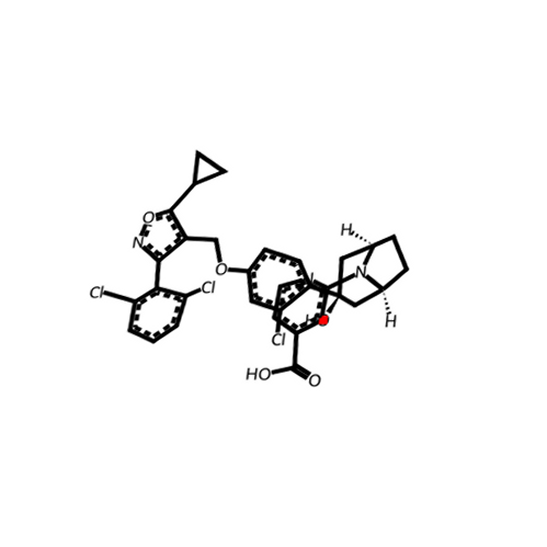 O=C(O)c1ccnc(N2[C@@H]3CC[C@H]2C[C@](O)(c2ccc(OCc4c(-c5c(Cl)cccc5Cl)noc4C4CC4)cc2Cl)C3)c1